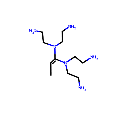 CC=C(N(CCN)CCN)N(CCN)CCN